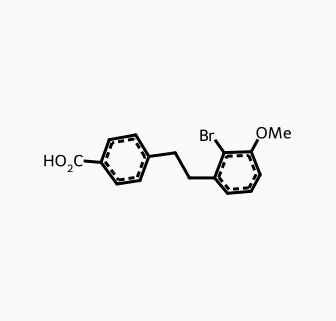 COc1cccc(CCc2ccc(C(=O)O)cc2)c1Br